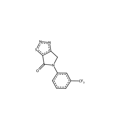 O=C1c2snnc2CN1c1cccc(C(F)(F)F)c1